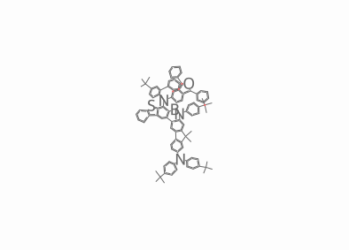 CC(C)(C)c1ccc(N2B3c4cc5c(-c6ccccc6)oc(-c6ccccc6)c5cc4N(c4ccc(C(C)(C)C)cc4-c4ccccc4)c4c3c(cc3c4sc4ccccc43)-c3cc4c(cc32)C(C)(C)c2cc(N(c3ccc(C(C)(C)C)cc3)c3ccc(C(C)(C)C)cc3)ccc2-4)cc1